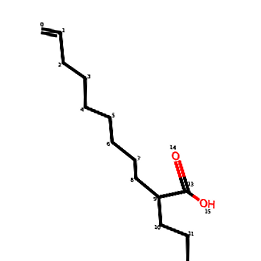 C=CCCCCCCCC(CCC)C(=O)O